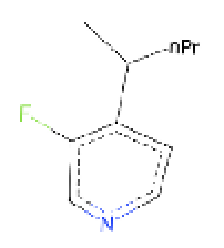 CCCC(C)c1ccncc1F